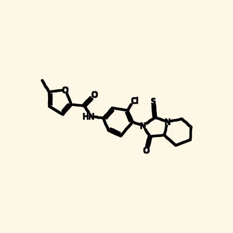 Cc1ccc(C(=O)Nc2ccc(N3C(=O)C4CCCCN4C3=S)c(Cl)c2)o1